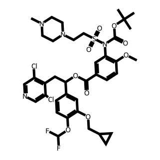 COc1ccc(C(=O)OC(Cc2c(Cl)cncc2Cl)c2ccc(OC(F)F)c(OCC3CC3)c2)cc1N(C(=O)OC(C)(C)C)S(=O)(=O)CCN1CCN(C)CC1